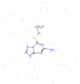 Nc1cc2ncnn2c(SCC(=O)O)n1